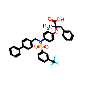 C[C@@](Cc1ccccc1)(Oc1ccc(N(Cc2ccc(-c3ccccc3)cc2)S(=O)(=O)c2cccc(C(F)(F)F)c2)cc1)C(=O)O